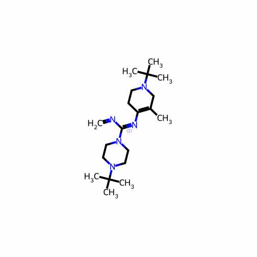 C=N/C(=N\C1=C(C)CN(C(C)(C)C)CC1)N1CCN(C(C)(C)C)CC1